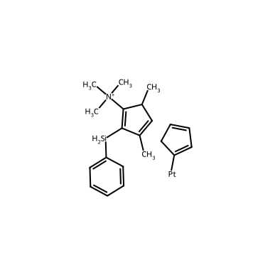 CC1=CC(C)C([N+](C)(C)C)=C1[SiH2]c1ccccc1.[Pt][C]1=CC=CC1